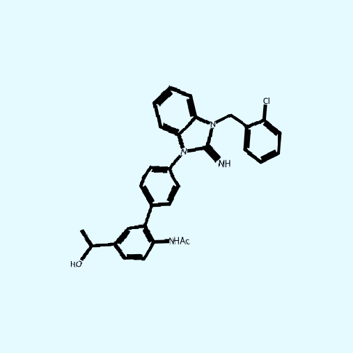 CC(=O)Nc1ccc(C(C)O)cc1-c1ccc(-n2c(=N)n(Cc3ccccc3Cl)c3ccccc32)cc1